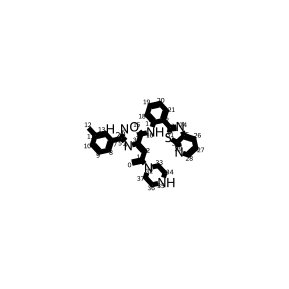 C=C(/C=C(\N=C(/N)c1cccc(C)c1)C(=O)Nc1ccccc1-c1nc2cccnc2s1)N1CCNCC1